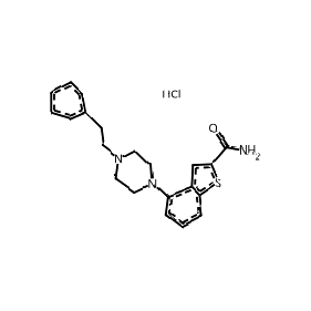 Cl.NC(=O)c1cc2c(N3CCN(CCc4ccccc4)CC3)cccc2s1